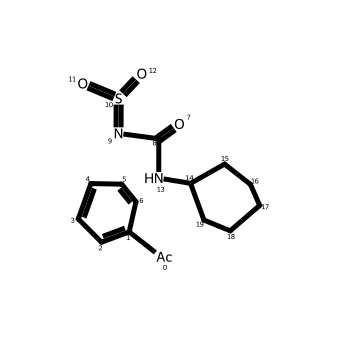 CC(=O)c1ccccc1.O=C(N=S(=O)=O)NC1CCCCC1